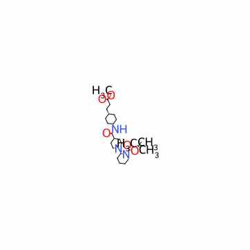 COC(=O)CC[C@H]1CC[C@H](NC(=O)C2CCN(C3CCCCN3C(=O)OC(C)(C)C)CC2)CC1